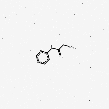 CCC(=O)Nc1ccn[c]n1